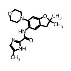 Cc1cnc(C(=O)Nc2cc3c(cc2N2CCOCC2)OC(C)(C)C3)[nH]1